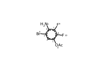 CC(=O)Oc1cc(Br)c(N)c(F)c1F